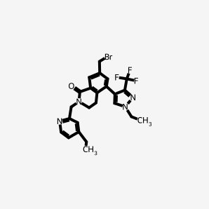 CCc1ccnc(CN2CCc3c(cc(CBr)cc3-c3cn(CC)nc3C(F)(F)F)C2=O)c1